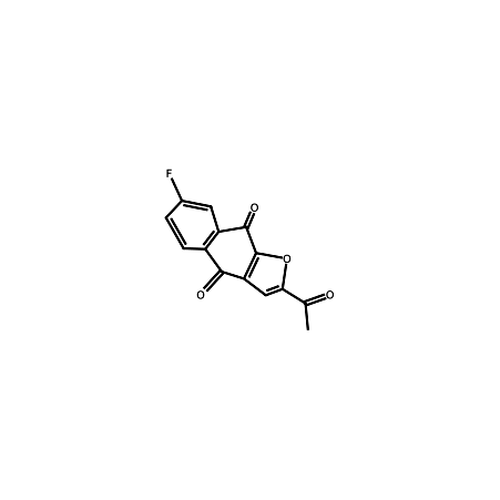 CC(=O)c1cc2c(o1)C(=O)c1cc(F)ccc1C2=O